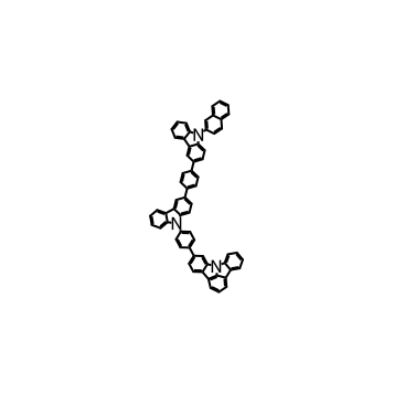 c1ccc2cc(-n3c4ccccc4c4cc(-c5ccc(-c6ccc7c(c6)c6ccccc6n7-c6ccc(-c7ccc8c9cccc%10c%11ccccc%11n(c8c7)c%109)cc6)cc5)ccc43)ccc2c1